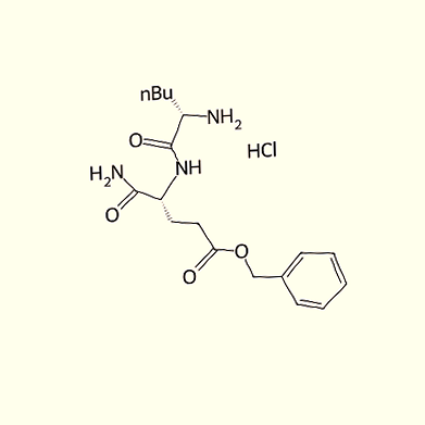 CCCC[C@H](N)C(=O)N[C@H](CCC(=O)OCc1ccccc1)C(N)=O.Cl